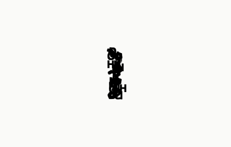 CCc1cc(-c2ccc3c(NS(=O)(=O)c4ccccc4Cl)ncnn23)cc2cnc(NC[C@@H]3CCCN(C(=O)OC(C)(C)C)C3)nc12